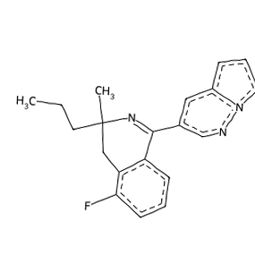 CCCC1(C)Cc2c(F)cccc2C(c2cnn3cccc3c2)=N1